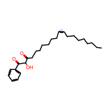 CCCCCCCC/C=C\CCCCCCCC(=O)C(O)C(=O)c1ccccc1